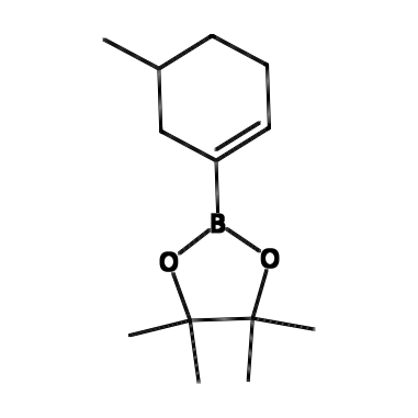 CC1CCC=C(B2OC(C)(C)C(C)(C)O2)C1